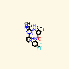 Cc1ccc(C(=O)Nc2cccc(C(F)(F)F)c2)cc1Nc1nc(-c2cccnc2)nc2nn(C)cc12